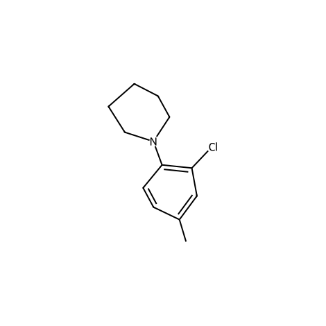 Cc1ccc(N2CCCCC2)c(Cl)c1